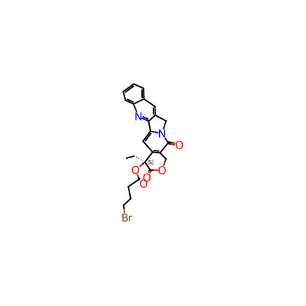 CC[C@@]1(OC(=O)CCCBr)C(=O)OCc2c1cc1n(c2=O)Cc2cc3ccccc3nc2-1